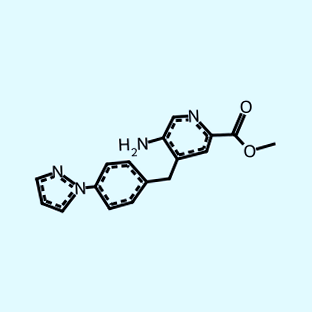 COC(=O)c1cc(Cc2ccc(-n3cccn3)cc2)c(N)cn1